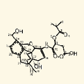 CC(C)C(=O)O[C@@H](CC(=O)O)C(=O)OC1=CC[C@@]2(O)[C@H]3Cc4ccc(CO)c5c4C2(CCN3C)C1O5